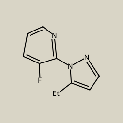 CCc1ccnn1-c1ncccc1F